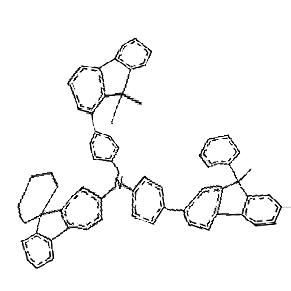 CC1(C)c2ccccc2-c2cccc(-c3ccc(N(c4ccc(-c5ccc6c(c5)C(C)(c5ccccc5)c5ccccc5-6)cc4)c4ccc5c(c4)C4(CCCCC4)c4ccccc4-5)cc3)c21